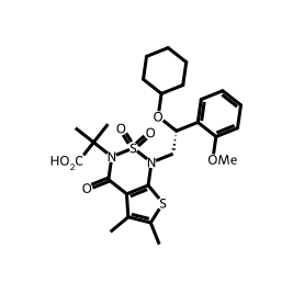 COc1ccccc1[C@H](CN1c2sc(C)c(C)c2C(=O)N(C(C)(C)C(=O)O)S1(=O)=O)OC1CCCCC1